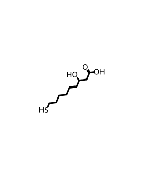 O=C(O)CC(O)/C=C/CCCCS